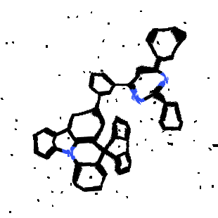 c1ccc(-c2cc(-c3cccc(-c4cc5c6c(c4)c4ccccc4n6-c4ccccc4C54c5ccccc5-c5ccccc54)c3)nc(-c3ccccc3)n2)cc1